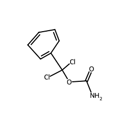 NC(=O)OC(Cl)(Cl)c1ccccc1